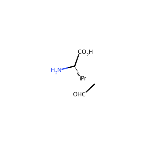 CC(C)[C@H](N)C(=O)O.CC=O